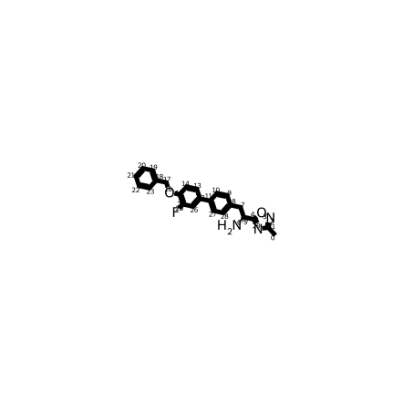 Cc1noc([C@H](N)Cc2ccc(-c3ccc(OCc4ccccc4)c(F)c3)cc2)n1